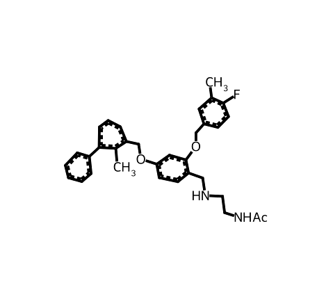 CC(=O)NCCNCc1ccc(OCc2cccc(-c3ccccc3)c2C)cc1OCc1ccc(F)c(C)c1